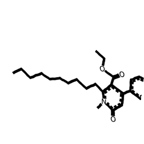 CCCCCCCCCCc1c(C(=O)OCC)c(-c2ccccc2)cc(=O)n1C